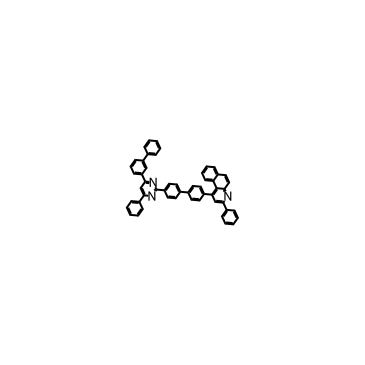 c1ccc(-c2cccc(-c3cc(-c4ccccc4)nc(-c4ccc(-c5ccc(-c6cc(-c7ccccc7)nc7ccc8ccccc8c67)cc5)cc4)n3)c2)cc1